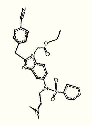 CCOC(=O)Cn1c(Cc2ccc(C#N)cc2)nc2cc(N(CCN(C)C)S(=O)(=O)c3ccccc3)ccc21